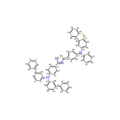 c1ccc(-c2cccc(N(c3ccc(-c4nsc(-c5ccc(N(c6ccccc6)c6ccc7sc8ccccc8c7c6)cc5)n4)cc3)c3cccc(-c4ccccc4)c3)c2)cc1